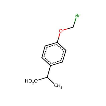 CC(C(=O)O)c1ccc(OCBr)cc1